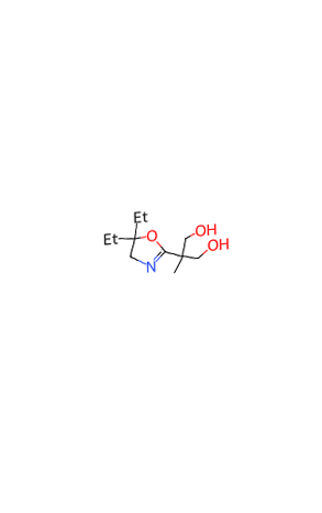 CCC1(CC)CN=C(C(C)(CO)CO)O1